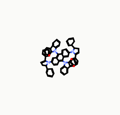 C1=CCC(C2CC=C(c3ccccc3)N2c2ccc3c(-n4c5ccccc5c5ccccc54)c4cc(N5C(c6ccccc6)=CCC5c5ccccc5)ccc4c(-n4c5ccccc5c5ccccc54)c3c2)C=C1